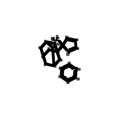 CC1(C23CC4CC(CC(C4)C2)C3)C=CC=N1.c1ccncc1